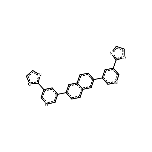 c1coc(-c2cncc(-c3ccc4cc(-c5cncc(-c6ncco6)c5)ccc4c3)c2)n1